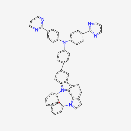 c1ccc(-n2ccc3ccc4c5cc(-c6ccc(N(c7ccc(-c8ncccn8)cc7)c7ccc(-c8ncccn8)cc7)cc6)ccc5n(-c5ccccc5)c4c32)cc1